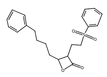 O=C1OC(CCCCc2ccccc2)C1CCS(=O)(=O)c1ccccc1